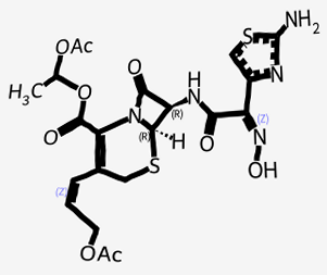 CC(=O)OC/C=C\C1=C(C(=O)OC(C)OC(C)=O)N2C(=O)[C@@H](NC(=O)/C(=N\O)c3csc(N)n3)[C@H]2SC1